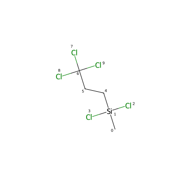 C[Si](Cl)(Cl)CCC(Cl)(Cl)Cl